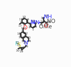 CO/C(Nc1cccc(-c2cccc(C)c2OCc2ccc3c(c2)CCN(CC2CC2(C)SF)C3)n1)=C(/C=N)C(=O)N=O